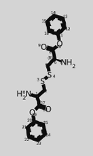 NC(CSSC[C@H](N)C(=O)Oc1ccccc1)C(=O)Oc1ccccc1